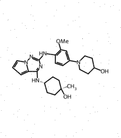 COc1cc(N2CCC(O)CC2)ccc1Nc1nc(N[C@H]2CC[C@](C)(O)CC2)c2cccn2n1